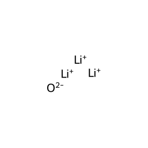 [Li+].[Li+].[Li+].[O-2]